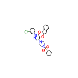 O=c1c(OC2Cc3ccccc3C2)c(N2CCN(S(=O)(=O)c3ccccc3)CC2)cnn1-c1cccc(Cl)c1